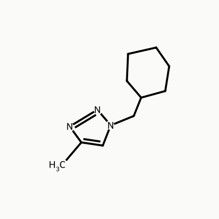 Cc1cn(CC2CCCCC2)nn1